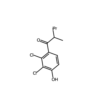 CC(C)C(C)C(=O)c1ccc(O)c(Cl)c1Cl